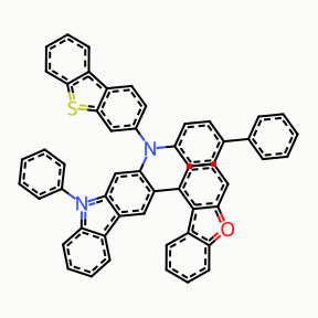 c1ccc(-c2ccc(N(c3ccc4c(c3)sc3ccccc34)c3cc4c(cc3-c3cccc5oc6ccccc6c35)c3ccccc3n4-c3ccccc3)cc2)cc1